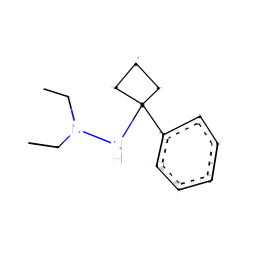 CCN(CC)NC1(c2cc[c]cc2)CCC1